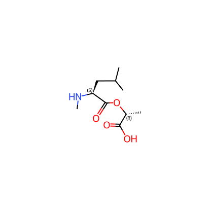 CN[C@@H](CC(C)C)C(=O)O[C@H](C)C(=O)O